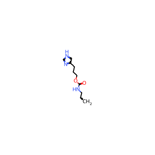 C=CCNC(=O)OCCCc1c[nH]cn1